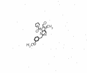 COc1cccc(Cc2ncc3c(n2)N(C(=O)N2CCCC2)C(C=O)N3C)c1